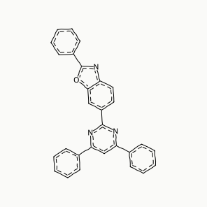 c1ccc(-c2cc(-c3ccccc3)nc(-c3ccc4nc(-c5ccccc5)oc4c3)n2)cc1